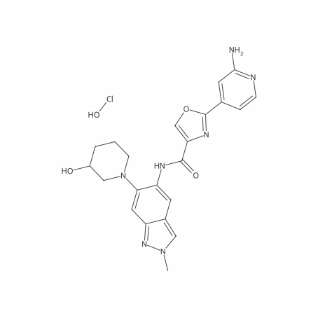 Cn1cc2cc(NC(=O)c3coc(-c4ccnc(N)c4)n3)c(N3CCCC(O)C3)cc2n1.OCl